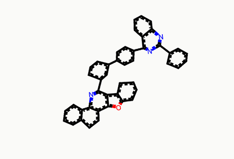 c1ccc(-c2nc(-c3ccc(-c4cccc(-c5nc6c7ccccc7ccc6c6oc7ccccc7c56)c4)cc3)c3ccccc3n2)cc1